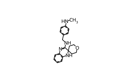 CNc1ccc(CNC2=Nc3ccccc3NC23CCOCC3)cc1